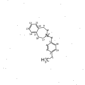 CCc1ccc(CN2CCc3ccccc3CC2)cc1